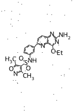 CCOc1nc(N)nc2ccc(-c3cccc(NS(=O)(=O)c4c(C)noc4C)c3)nc12